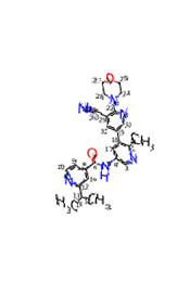 Cc1ncc(NC(=O)c2ccnc(C(C)C)c2)cc1-c1cnc(N2CCOCC2)c(C#N)c1